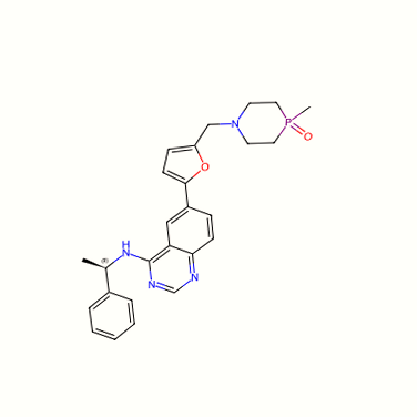 C[C@@H](Nc1ncnc2ccc(-c3ccc(CN4CCP(C)(=O)CC4)o3)cc12)c1ccccc1